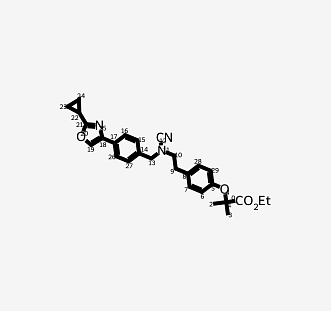 CCOC(=O)C(C)(C)Oc1ccc(CCN(C#N)Cc2ccc(-c3coc(C4CC4)n3)cc2)cc1